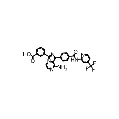 Nc1nccn2c(-c3cccc(C(=O)O)c3)nc(-c3ccc(C(=O)Nc4cc(C(F)(F)F)ccn4)cc3)c12